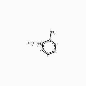 N.Nc1ccccc1.O